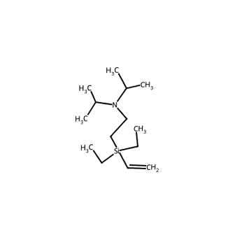 C=C[Si](CC)(CC)CCN(C(C)C)C(C)C